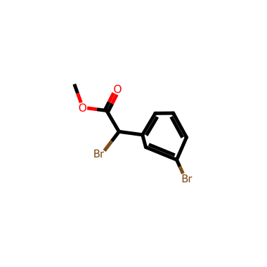 COC(=O)C(Br)c1cccc(Br)c1